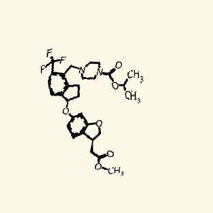 COC(=O)C[C@@H]1COc2cc(O[C@@H]3CCc4c3ccc(C(F)(F)F)c4CN3CCN(C(=O)OC(C)C)CC3)ccc21